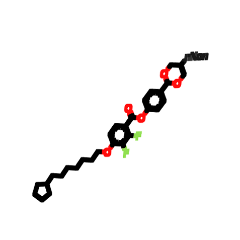 CCCCCCCCCC1COC(c2ccc(OC(=O)c3ccc(OCCCCCCCC4CCCC4)c(F)c3F)cc2)OC1